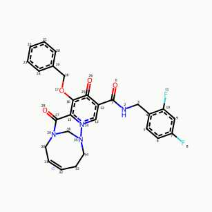 O=C(NCc1ccc(F)cc1F)c1cn2c(c(OCc3ccccc3)c1=O)C(=O)N1C/C=C\CCN2C1